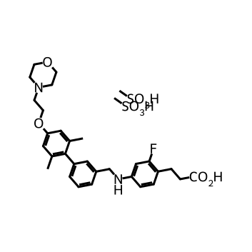 CS(=O)(=O)O.CS(=O)(=O)O.Cc1cc(OCCN2CCOCC2)cc(C)c1-c1cccc(CNc2ccc(CCC(=O)O)c(F)c2)c1